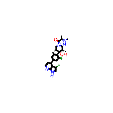 CN[C@H](C)C(=O)N1C[C@@H](C)[C@](O)(c2c(C)cc(-c3ccnc4[nH]cc(F)c34)cc2F)[C@@H](C)C1